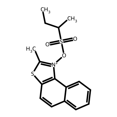 CCC(C)S(=O)(=O)O[n+]1c(C)sc2ccc3ccccc3c21